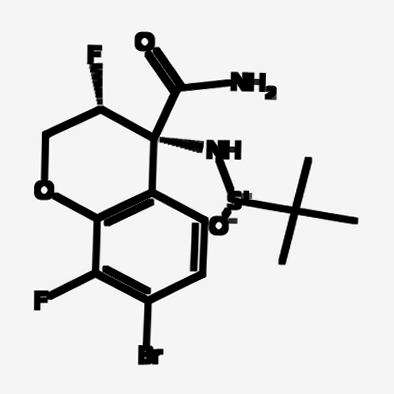 CC(C)(C)[S+]([O-])N[C@]1(C(N)=O)c2ccc(Br)c(F)c2OC[C@@H]1F